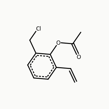 C=Cc1cccc(CCl)c1OC(C)=O